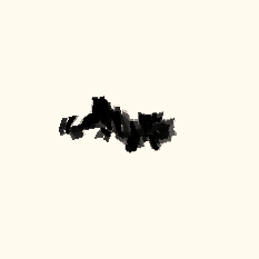 CNNC(C=O)N1CCC(c2nc(C3=NOC(c4c(F)cccc4F)C3)cs2)CC1